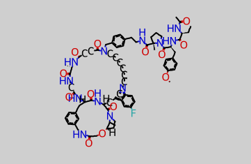 CC[C@H](NC(C)=O)C(=O)N[C@@H](Cc1ccc(OC)cc1)C(=O)N1CCC[C@@]1(C)C(=O)NCCc1ccc(CN2CCCCCCn3cc(c4cc(F)ccc43)C[C@@H]3NC(=O)[C@H](Cc4cccc(c4)CNC(=O)CO[C@H]4CCN(C3=O)C4C)NC(=O)CNC(=O)[C@H](C)NC(=O)CCC2=O)cc1